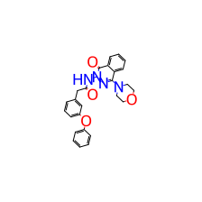 O=C(Cc1cccc(Oc2ccccc2)c1)Nn1nc(N2CCOCC2)c2ccccc2c1=O